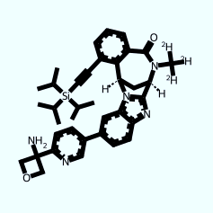 [2H]C([2H])([2H])N1C(=O)c2cccc(C#C[Si](C(C)C)(C(C)C)C(C)C)c2[C@H]2C[C@@H]1c1nc3ccc(-c4ccc(C5(N)COC5)nc4)cc3n12